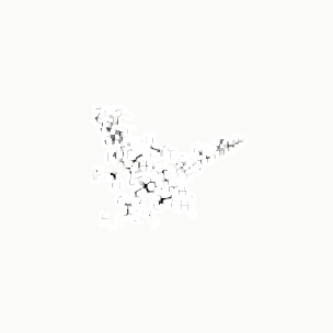 C=C(C)C(=O)OCC(CC)(COC(=O)C(=C)C)COC(=O)C(=C)C.CC(C)C(=O)OCC(C)(C)C(OC(=O)C(C)C)C(C)C.[Ca+2].[Ca+2].[Ca+2].[O-]P([O-])[O-].[O-]P([O-])[O-].[O-]P([O-])[O-].[O-]P([O-])[O-].[Zn+2].[Zn+2].[Zn+2]